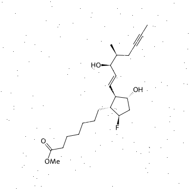 CC#CC[C@H](C)[C@H](O)C=C[C@@H]1[C@@H](CCCCCCC(=O)OC)[C@H](F)C[C@H]1O